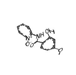 COc1ccc(C(=O)Nc2cccc[n+]2[O-])c(O)c1